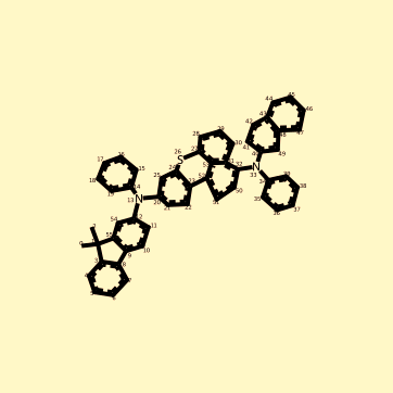 CC1(C)c2ccccc2-c2ccc(N(c3ccccc3)c3ccc4c(c3)Sc3cccc5c(N(c6ccccc6)c6ccc7ccccc7c6)ccc-4c35)cc21